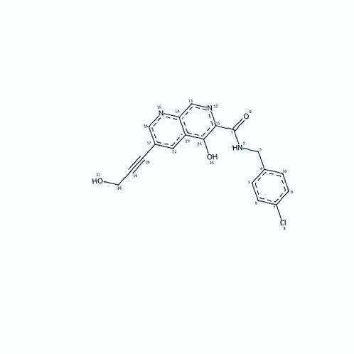 O=C(NCc1ccc(Cl)cc1)c1ncc2ncc(C#CCO)cc2c1O